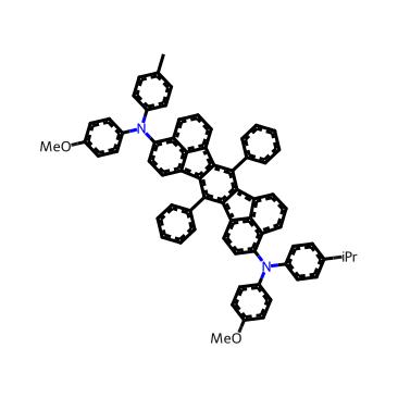 COc1ccc(N(c2ccc(C)cc2)c2ccc3c4c(-c5ccccc5)c5c6ccc(N(c7ccc(OC)cc7)c7ccc(C(C)C)cc7)c7cccc(c5c(-c5ccccc5)c4c4cccc2c43)c76)cc1